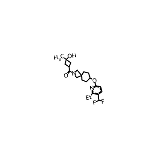 CCc1nc(OC2CCC3(CC2)CN(C(=O)C2CC(C)(O)C2)C3)ccc1C(F)F